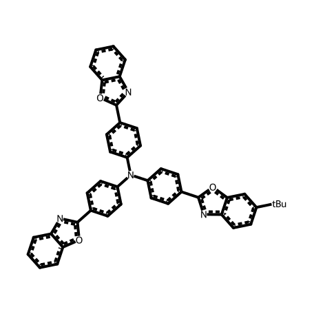 CC(C)(C)c1ccc2nc(-c3ccc(N(c4ccc(-c5nc6ccccc6o5)cc4)c4ccc(-c5nc6ccccc6o5)cc4)cc3)oc2c1